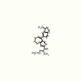 COC[C@H](C)Nc1ncc2c(n1)CCCC=C2c1ccc2nnn(C)c2c1